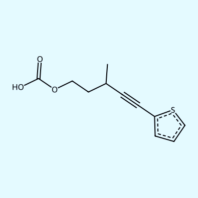 CC(C#Cc1cccs1)CCOC(=O)O